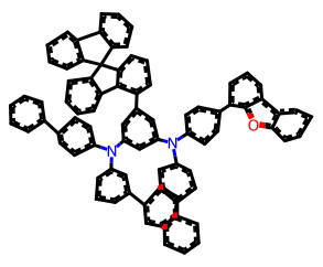 c1ccc(-c2ccc(N(c3ccc(-c4cccc5c4oc4ccccc45)cc3)c3cc(-c4cccc5c4-c4ccccc4C54c5ccccc5-c5ccccc54)cc(N(c4ccc(-c5ccccc5)cc4)c4cccc(-c5ccccc5)c4)c3)cc2)cc1